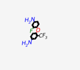 Nc1ccc(Oc2ccc(N)cc2C(F)(F)F)c(F)c1